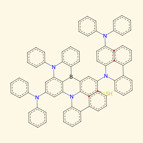 Sc1cc2c(cc1N(c1ccc(N(c3ccccc3)c3ccccc3)cc1)c1ccccc1-c1ccccc1)B1c3ccccc3N(c3ccccc3)c3cc(N(c4ccccc4)c4ccccc4)cc(c31)N2c1ccccc1-c1ccccc1